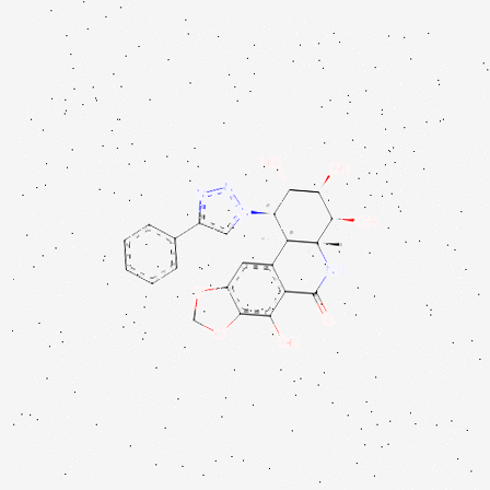 O=C1N[C@H]2[C@H](O)[C@H](O)[C@@H](O)[C@H](n3cc(-c4ccccc4)nn3)[C@@H]2c2cc3c(c(O)c21)OCO3